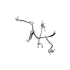 BC(B)(C(=O)OC(C)(C)C)[C@@H](C)O